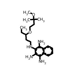 CCC(CCNc1c(N)c(N)c2ccccc2c1N)OCCC(C)(C)OC